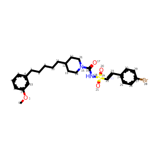 COc1cccc(CCCCCC2CCN(C(=O)NS(=O)(=O)/C=C/c3ccc(Br)cc3)CC2)c1